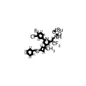 CC(C)(C)OC(=O)NCC(c1cc(C2(C)CC(OCc3ccccc3)C2)cc(-c2ccc(F)c(Cl)c2)n1)C(F)(F)F